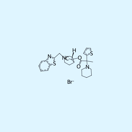 CC(C(=O)O[C@H]1C[N+]2(Cc3nc4ccccc4s3)CCC1CC2)(c1cccs1)N1CCCCC1.[Br-]